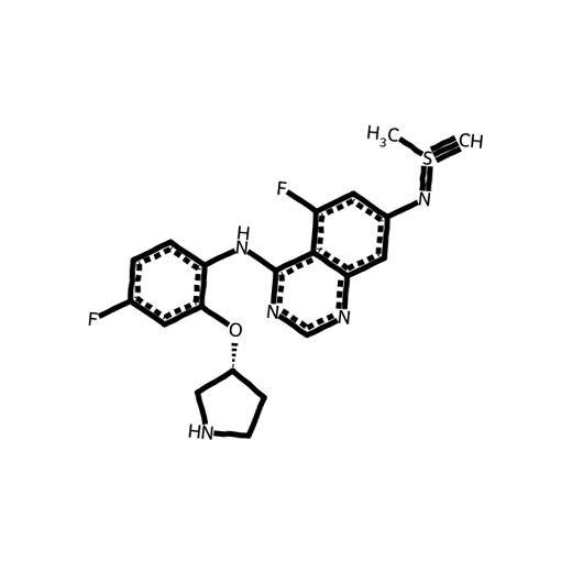 C#S(/C)=N/c1cc(F)c2c(Nc3ccc(F)cc3O[C@@H]3CCNC3)ncnc2c1